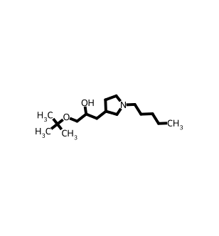 CCCCCN1CCC(CC(O)COC(C)(C)C)C1